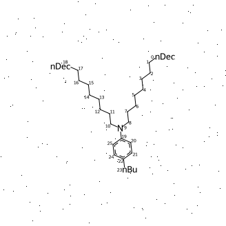 CCCCCCCCCCCCCCCCCCN(CCCCCCCCCCCCCCCCCC)c1ccc(CCCC)cc1